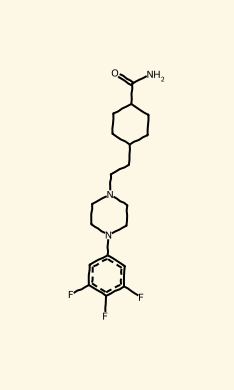 NC(=O)C1CCC(CCN2CCN(c3cc(F)c(F)c(F)c3)CC2)CC1